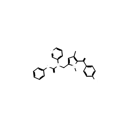 Cc1cc(CN(C(=O)Nc2ccccc2)c2cccnc2)n(C)c1C(=O)c1ccc(Cl)cc1